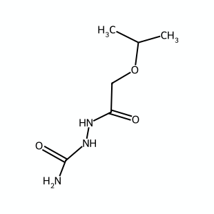 CC(C)OCC(=O)NNC(N)=O